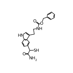 NC(=O)C(S)c1ccc2[nH]cc(CCNC(=O)OCc3ccccc3)c2c1